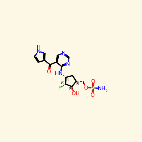 NS(=O)(=O)OC[C@H]1C[C@@H](Nc2ncncc2C(=O)c2cc[nH]c2)[C@@H](F)[C@@H]1O